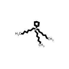 CCCCCCC[N+](CCCCCCC)(CCCCCCC)c1ccccc1